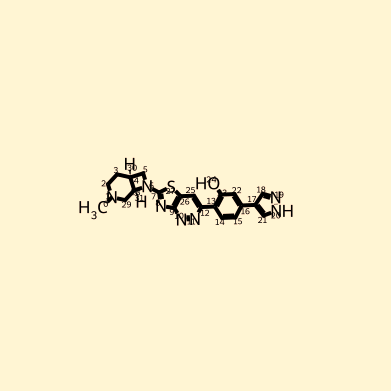 CN1CC[C@H]2CN(c3nc4nnc(-c5ccc(-c6cn[nH]c6)cc5O)cc4s3)[C@H]2C1